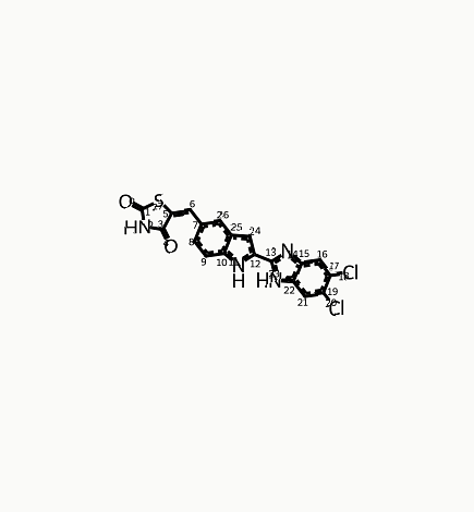 O=C1NC(=O)/C(=C\c2ccc3[nH]c(-c4nc5cc(Cl)c(Cl)cc5[nH]4)cc3c2)S1